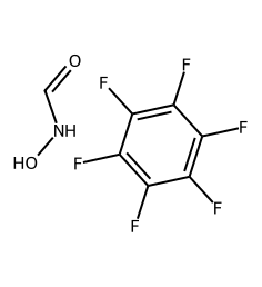 Fc1c(F)c(F)c(F)c(F)c1F.O=CNO